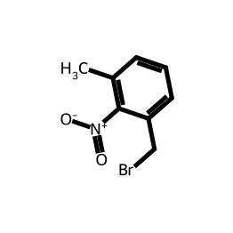 Cc1cccc(CBr)c1[N+](=O)[O-]